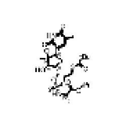 Cc1cn([C@@H]2O[C@H](COP(=S)(N[C@@H](C)C(=O)OC(C)C)OCCSC(=O)C(C)(C)C)[C@@H](O)[C@]2(F)Cl)c(=O)[nH]c1=O